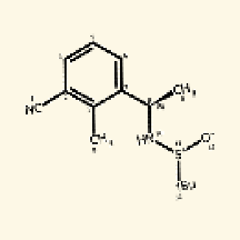 Cc1c(C#N)cccc1[C@@H](C)N[S+]([O-])C(C)(C)C